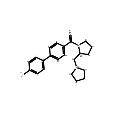 O=C(c1ccc(-c2ccc(C(F)(F)F)cc2)cc1)N1CCCC1CN1CCCC1